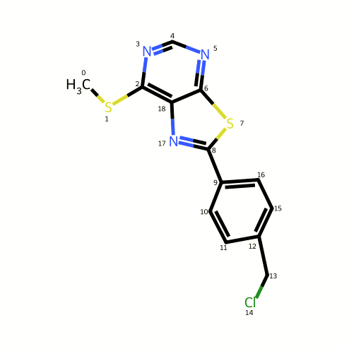 CSc1ncnc2sc(-c3ccc(CCl)cc3)nc12